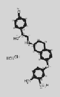 Cl.Cl.Nc1ccc(Oc2ccc3c(c2)C[C@@H](NC[C@H](O)c2ccc(Cl)cc2)CC3)cc1C(=O)O